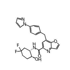 O=C(N[C@H]1CC(F)(F)CC[C@@H]1O)c1cc(Cc2ccc(-n3cccn3)cc2)c2occc2n1